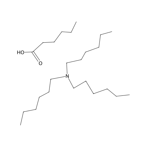 CCCCCC(=O)O.CCCCCCN(CCCCCC)CCCCCC